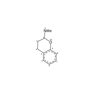 CNC1CCc2ccccc2O1